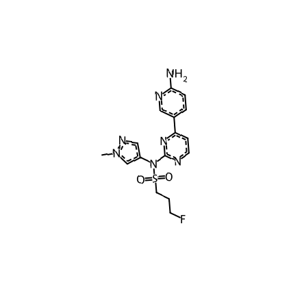 Cn1cc(N(c2nccc(-c3ccc(N)nc3)n2)S(=O)(=O)CCCF)cn1